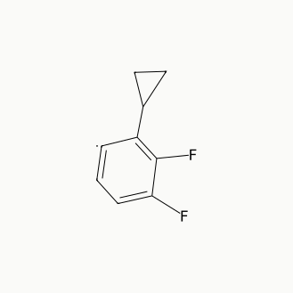 Fc1cc[c]c(C2CC2)c1F